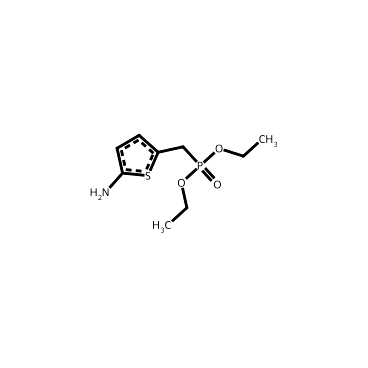 CCOP(=O)(Cc1ccc(N)s1)OCC